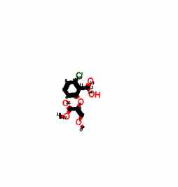 COC=C(Oc1cccc(Cl)c1C(=O)O)C(=O)OC